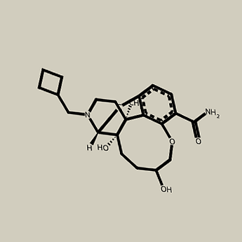 C[C@]12CCN(CC3CCC3)[C@@H]3Cc4ccc(C(N)=O)c(c41)OCC(O)CC[C@@]32O